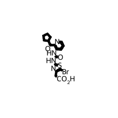 O=C(O)Cc1nc(NC(=O)Nc2cccnc2C(=O)C2CCCC2)sc1Br